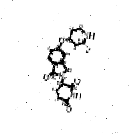 C[C@@H]1C[C@H](Oc2ccc3c(c2)CN(C2CCC(=O)NC2=O)C3=O)CCN1